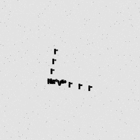 [I-].[I-].[I-].[I-].[I-].[I-].[Na+].[V+5]